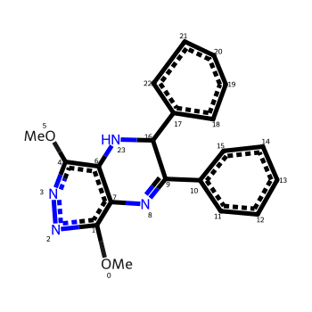 COc1nnc(OC)c2c1N=C(c1ccccc1)C(c1ccccc1)N2